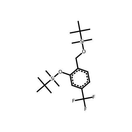 CC(C)(C)[Si](C)(C)OCc1ccc(C(F)(F)F)cc1O[Si](C)(C)C(C)(C)C